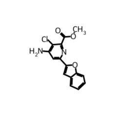 COC(=O)c1nc(-c2cc3ccccc3o2)cc(N)c1Cl